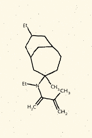 C=C(C)C(=C)N(CC)C1(C)CCC2CC(CC)CC(C2)C1